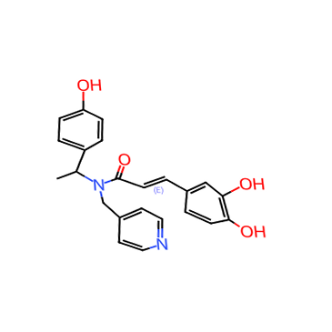 CC(c1ccc(O)cc1)N(Cc1ccncc1)C(=O)/C=C/c1ccc(O)c(O)c1